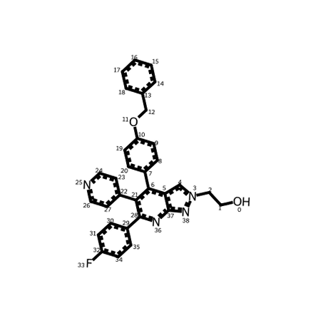 OCCn1cc2c(-c3ccc(OCc4ccccc4)cc3)c(-c3ccncc3)c(-c3ccc(F)cc3)nc2n1